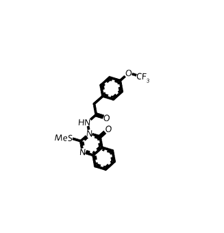 CSc1nc2ccccc2c(=O)n1NC(=O)Cc1ccc(OC(F)(F)F)cc1